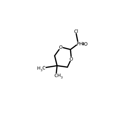 CC1(C)COC([PH](=O)Cl)OC1